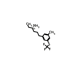 CC[C@H](N)CCCc1cc(C)cc(SC(F)(F)F)c1